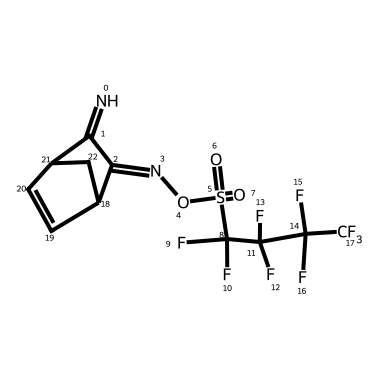 N=C1C(=NOS(=O)(=O)C(F)(F)C(F)(F)C(F)(F)C(F)(F)F)C2C=CC1C2